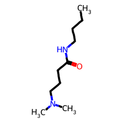 CCCCNC(=O)CCCN(C)C